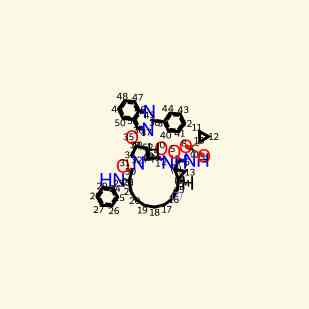 O=C1N[C@]2(C(=O)NS(=O)(=O)C3CC3)C[C@H]2/C=C\CCCCC[C@H](Nc2ccccc2)C(=O)N2C[C@H](Oc3nc(-c4ccccc4)nc4ccccc34)C[C@@H]12